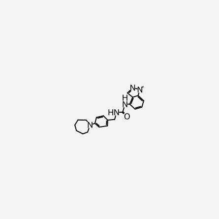 Cn1ncc2c(NC(=O)NCc3ccc(N4CCCCCC4)cc3)cccc21